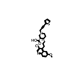 COc1ccc2ncc(Cl)c(CCC[C@H]3CCN(CC#Cc4cccs4)C[C@H]3C(=O)O)c2c1